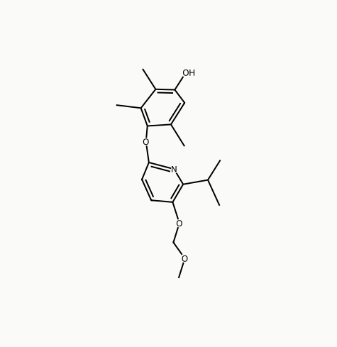 COCOc1ccc(Oc2c(C)cc(O)c(C)c2C)nc1C(C)C